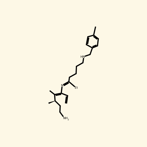 C=CC(/N=C(\CC)CCCCNCc1ccc(C)cc1)=C(/C)[C@H](C)CCN